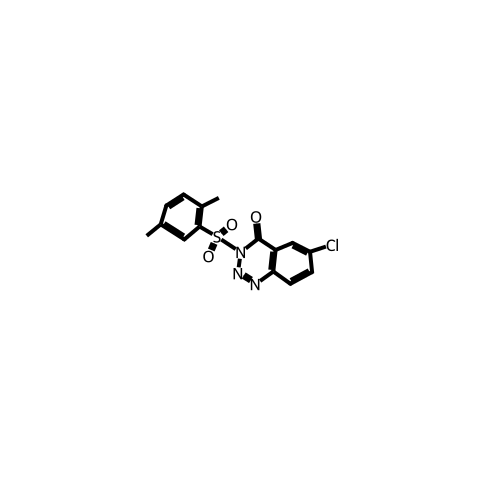 Cc1ccc(C)c(S(=O)(=O)n2nnc3ccc(Cl)cc3c2=O)c1